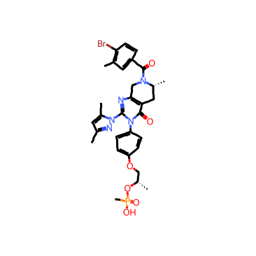 Cc1cc(C)n(-c2nc3c(c(=O)n2-c2ccc(OC[C@H](C)OP(C)(=O)O)cc2)C[C@@H](C)N(C(=O)c2ccc(Br)c(C)c2)C3)n1